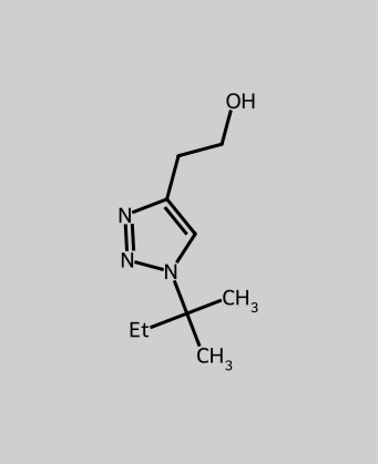 CCC(C)(C)n1cc(CCO)nn1